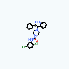 N[C@@H](c1ccccc1)[C@@H](c1ccccc1)N1CCN(C(=O)Nc2cc(Cl)ccc2Cl)CC1